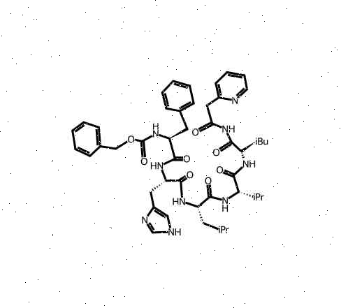 CC[C@H](C)[C@H](NC(=O)[C@@H](NC(=O)[C@H](CC(C)C)NC(=O)[C@H](Cc1c[nH]cn1)NC(=O)[C@H](Cc1ccccc1)NC(=O)OCc1ccccc1)C(C)C)C(=O)NC(=O)Cc1ccccn1